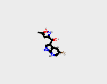 Cc1cc(C(=O)c2c[nH]c3ncc(Br)cc23)no1